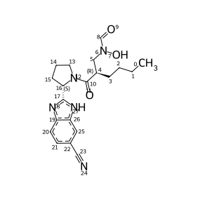 CCCC[C@H](CN(O)C=O)C(=O)N1CCC[C@H]1c1nc2ccc(C#N)cc2[nH]1